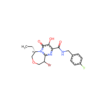 CC[C@H]1COCC(Br)c2nc(C(=O)NCc3ccc(F)cc3)c(O)c(=O)n21